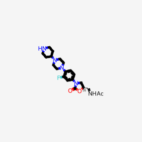 CC(=O)NC[C@H]1CN(c2ccc(N3CCN(C4CCNCC4)CC3)c(F)c2)C(=O)O1